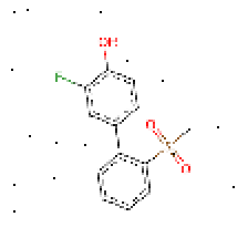 CS(=O)(=O)c1ccccc1-c1ccc(O)c(F)c1